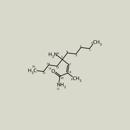 CCCCCC(N)(C=C(C)C(N)=O)CCCC